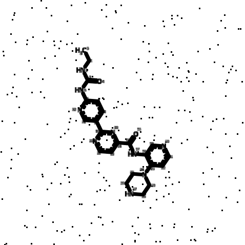 CCNC(=O)Nc1ccc(-c2nccc(C(=O)Nc3cnccc3N3CCNCC3)n2)cn1